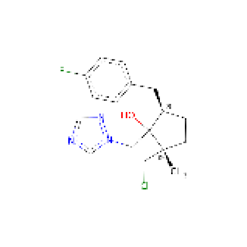 C[C@]1(CCl)CC[C@H](Cc2ccc(F)cc2)C1(O)Cn1cncn1